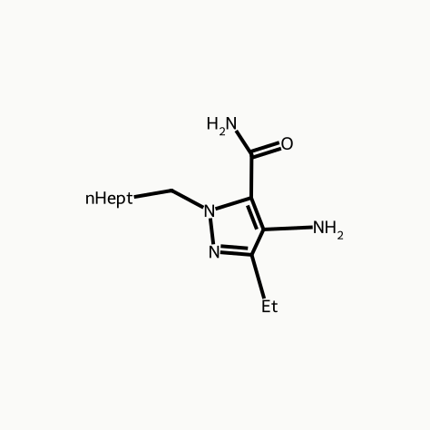 CCCCCCCCn1nc(CC)c(N)c1C(N)=O